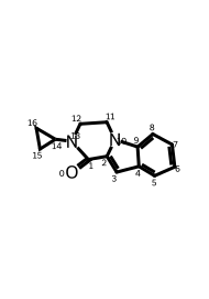 O=C1c2cc3ccccc3n2CCN1C1CC1